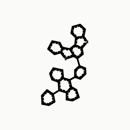 c1ccc(-c2c3ccccc3c(-c3cccc(-c4cc5sc6ccccc6c5c5c4sc4ccccc45)c3)c3ccccc23)cc1